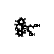 OCCN(CCO)CC1(O)c2ccccc2COc2ccccc21